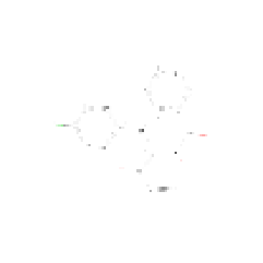 O=CC1OC=CC(O)=C1C(c1ccccc1)c1ccc(Cl)cc1